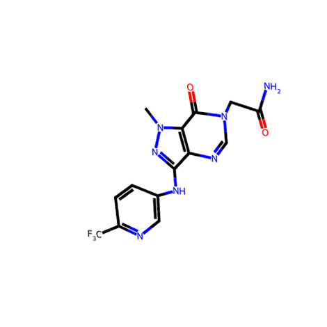 Cn1nc(Nc2ccc(C(F)(F)F)nc2)c2ncn(CC(N)=O)c(=O)c21